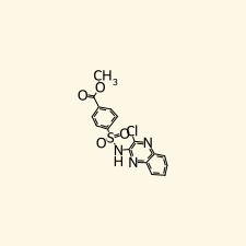 COC(=O)c1ccc(S(=O)(=O)Nc2nc3ccccc3nc2Cl)cc1